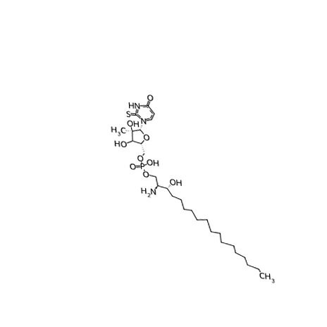 CCCCCCCCCCCCCCC[C@@H](O)[C@@H](N)COP(=O)(O)OC[C@H]1O[C@@H](n2ccc(=O)[nH]c2=S)[C@](C)(O)C1O